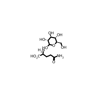 NC(=O)CCC(N)C(=O)O.OC[C@H]1OC(O)[C@H](O)[C@@H](O)[C@@H]1O